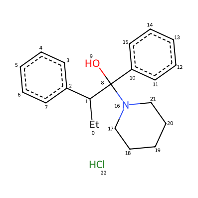 CCC(c1ccccc1)C(O)(c1ccccc1)N1CCCCC1.Cl